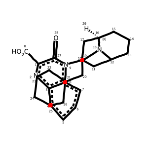 O=C(O)c1nc2ccccc2n(C2CC3CCC[C@H](C2)N3CCC2CCCCC2)c1=O